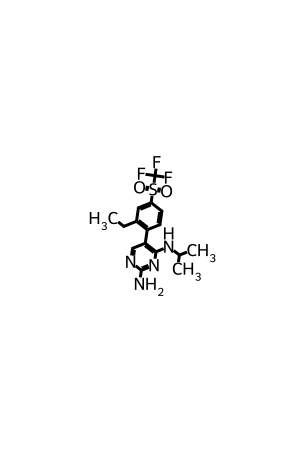 CCc1cc(S(=O)(=O)C(F)(F)F)ccc1-c1cnc(N)nc1NC(C)C